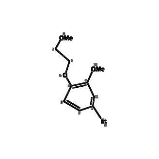 CCc1ccc(OCCOC)c(OC)c1